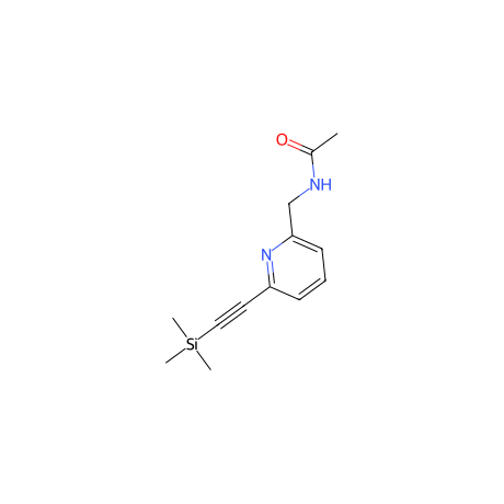 CC(=O)NCc1cccc(C#C[Si](C)(C)C)n1